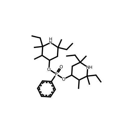 CCC1(C)CC(OP(=O)(OC2CC(C)(CC)NC(C)(CC)C2C)c2ccccc2)C(C)C(C)(CC)N1